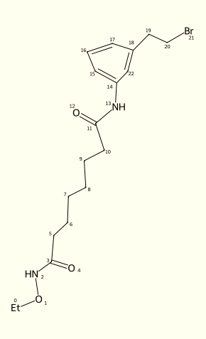 CCONC(=O)CCCCCCC(=O)Nc1cccc(CCBr)c1